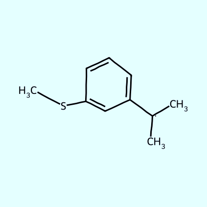 CSc1cccc([C](C)C)c1